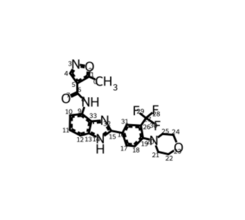 Cc1oncc1C(=O)Nc1cccc2[nH]c(-c3ccc(N4CCOCC4)c(C(F)(F)F)c3)nc12